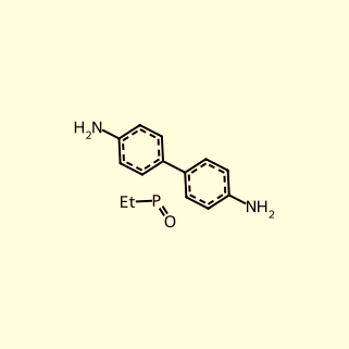 CCP=O.Nc1ccc(-c2ccc(N)cc2)cc1